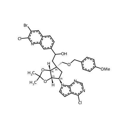 COc1ccc(COC[C@]2(CC(O)c3ccc4cc(Br)c(Cl)nc4c3)C[C@@H](n3ccc4c(Cl)ncnc43)[C@@H]3OC(C)(C)O[C@@H]32)cc1